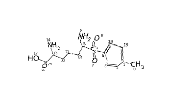 Cc1ccc(S(=O)(=O)C(N)CCCC(N)C(=O)O)cc1